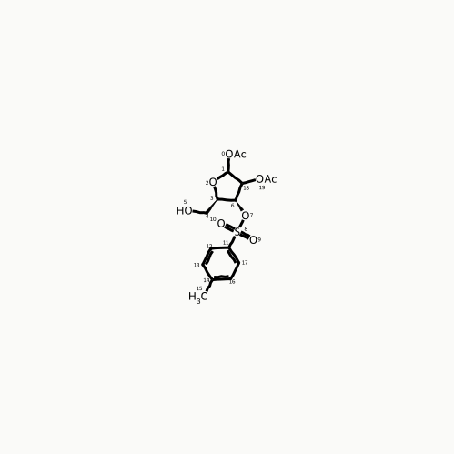 CC(=O)OC1O[C@H](CO)[C@H](OS(=O)(=O)c2ccc(C)cc2)C1OC(C)=O